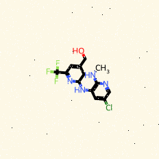 CNc1ncc(Cl)cc1NC1CC(CO)=CC(C(F)(F)F)=N1